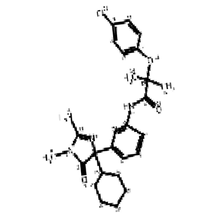 CN1C(=O)C(c2cccc(NC(=O)C(C)(C)Oc3ccc(Cl)cc3)c2)(C2CCCCC2)N=C1N